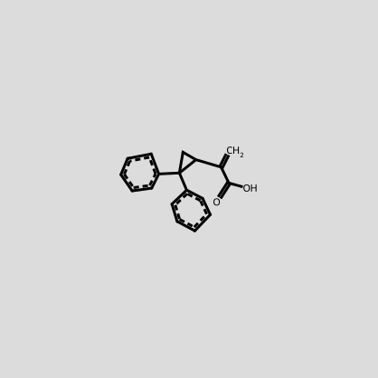 C=C(C(=O)O)C1CC1(c1ccccc1)c1ccccc1